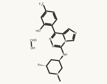 CN1C[C@H](F)C[C@@H](Nc2nnc(-c3ccc(C(F)(F)F)cc3O)c3cncn23)C1.O=CO